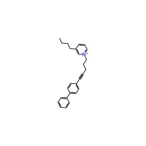 CCCCc1ccc[n+](CCCC#Cc2ccc(-c3ccccc3)cc2)c1